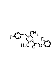 CC1CN(C(=O)COc2ccccc2F)C(C)CN1Cc1ccc(F)cc1